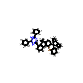 CC1(C)c2ccc3c(c2-c2cccc(-c4nc(-c5ccccc5)nc(-c5ccccc5)n4)c21)Sc1ccccc1C31c2ccccc2-c2ccccc21